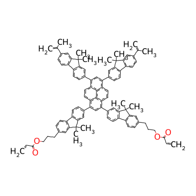 C=CC(=O)OCCCc1ccc2c(c1)C(C)(C)c1cc(-c3cc(-c4ccc5c(c4)C(C)(C)c4cc(CCCOC(=O)C=C)ccc4-5)c4ccc5c(-c6ccc7c(c6)C(C)(C)c6cc(C(=C)C)ccc6-7)cc(-c6ccc7c(c6)C(C)(C)c6cc(C(=C)C)ccc6-7)c6ccc3c4c65)ccc1-2